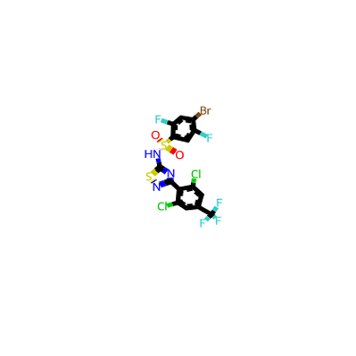 O=S(=O)(Nc1nc(-c2c(Cl)cc(C(F)(F)F)cc2Cl)ns1)c1cc(F)c(Br)cc1F